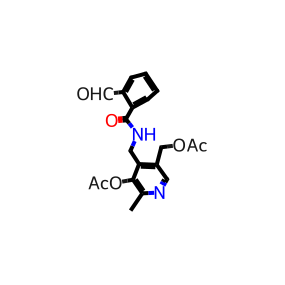 CC(=O)OCc1cnc(C)c(OC(C)=O)c1CNC(=O)c1ccccc1C=O